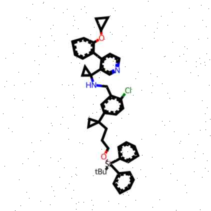 CC(C)(C)[Si](OCCCC1(c2ccc(Cl)c(CNC3(c4cnccc4-c4ccccc4OC4CC4)CC3)c2)CC1)(c1ccccc1)c1ccccc1